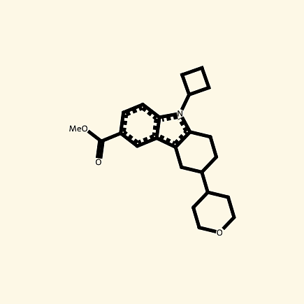 COC(=O)c1ccc2c(c1)c1c(n2C2CCC2)CCC(C2CCOCC2)C1